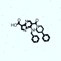 O=C(O)c1cnn2c(NCc3ccccc3)c(C(=O)N3CCC(c4ccccc4)CC3)cnc12